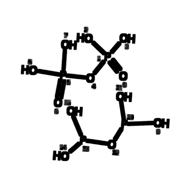 O=P(O)(O)OP(=O)(O)O.OP(O)OP(O)O